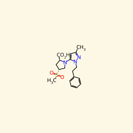 Cc1cc(N2C[C@H](S(C)(=O)=O)C[C@H]2C(=O)O)n(CCc2ccccc2)n1